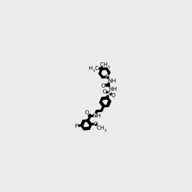 COc1ccc(F)cc1C(=O)NCCc1ccc(S(=O)(=O)NC(=O)NN2CCC(C)(C)CC2)cc1